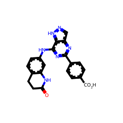 O=C1CCc2ccc(Nc3nc(-c4ccc(C(=O)O)cc4)nc4cn[nH]c34)cc2N1